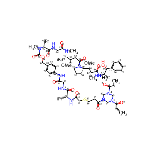 C=CC(=O)N1CN(C(=O)C=C)CN(C(=O)CCSCC(=O)NC(C(=O)NCC(=O)Nc2ccc(COC(=O)N(C)C(C(=O)NCC(=O)N(C)[C@@H]([C@@H](C)CC)[C@@H](CC(=O)N3CCC[C@H]3[C@H](OC)[C@@H](C)C(=O)N[C@H](C)[C@@H](O)c3ccccc3)OC)C(C)C)cc2)C(C)C)C1